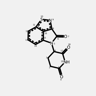 O=C1CCC(N2C(=O)c3nsc4cccc2c34)C(=O)N1